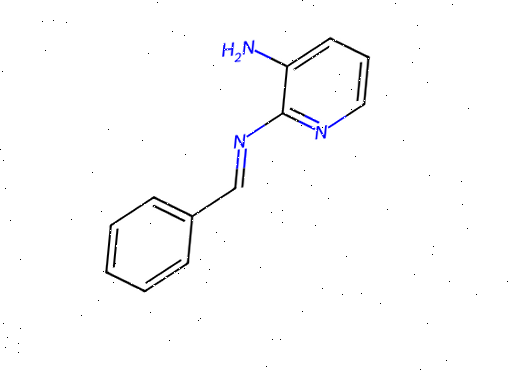 Nc1cccnc1N=Cc1ccccc1